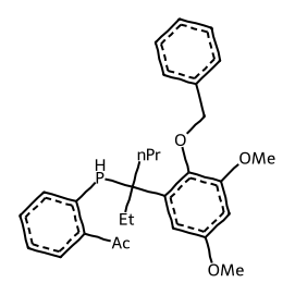 CCCC(CC)(Pc1ccccc1C(C)=O)c1cc(OC)cc(OC)c1OCc1ccccc1